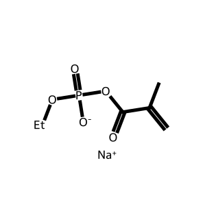 C=C(C)C(=O)OP(=O)([O-])OCC.[Na+]